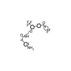 Nc1ccc(C2CC2C(=O)NCCCOc2cc(-c3ccc(C(=O)N4CCC(F)(F)CC4)cc3)cc(C(F)(F)F)c2)cn1